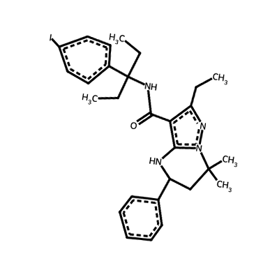 CCc1nn2c(c1C(=O)NC(CC)(CC)c1ccc(I)cc1)NC(c1ccccc1)CC2(C)C